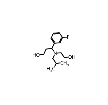 CC(C)CN(CCO)C(CCO)c1cccc(F)c1